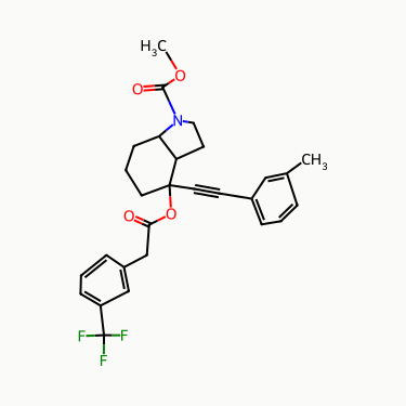 COC(=O)N1CCC2C1CCCC2(C#Cc1cccc(C)c1)OC(=O)Cc1cccc(C(F)(F)F)c1